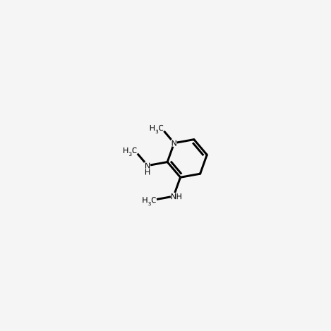 CNC1=C(NC)N(C)C=CC1